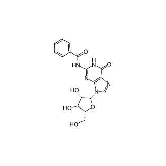 O=C(Nc1nc2c(ncn2[C@@H]2O[C@H](CO)C(O)[C@@H]2O)c(=O)[nH]1)c1ccccc1